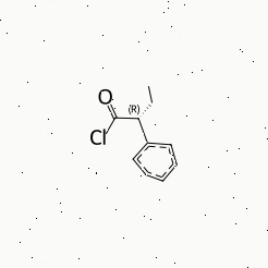 CC[C@@H](C(=O)Cl)c1ccccc1